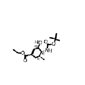 CCOC(=O)C1=C[C@@H](O)[C@H](NC(=O)OC(C)(C)C)[C@@H](C)C1